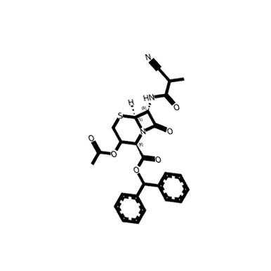 CC(=O)OC1CS[C@H]2[C@H](NC(=O)C(C)C#N)C(=O)N2[C@H]1C(=O)OC(c1ccccc1)c1ccccc1